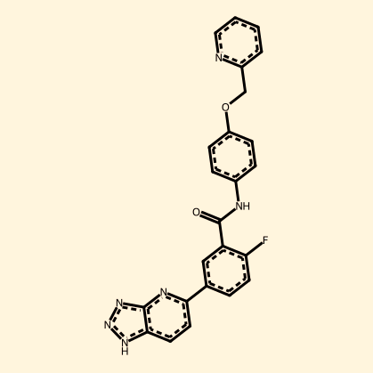 O=C(Nc1ccc(OCc2ccccn2)cc1)c1cc(-c2ccc3[nH]nnc3n2)ccc1F